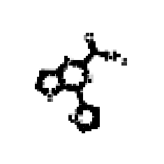 NC(=O)c1nc(-c2ccco2)c2sccc2n1